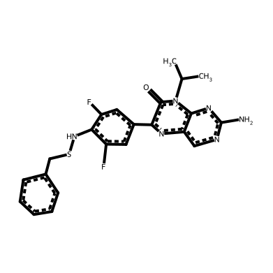 CC(C)n1c(=O)c(-c2cc(F)c(NSCc3ccccc3)c(F)c2)nc2cnc(N)nc21